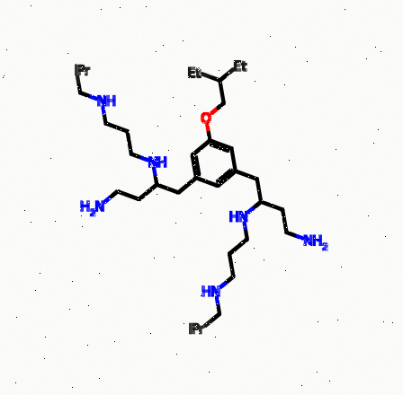 CCC(CC)COc1cc(CC(CCN)NCCCNCC(C)C)cc(CC(CCN)NCCCNCC(C)C)c1